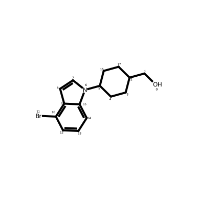 OCC1CCC(n2ccc3c(Br)cccc32)CC1